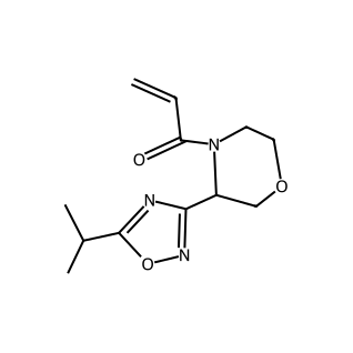 C=CC(=O)N1CCOCC1c1noc(C(C)C)n1